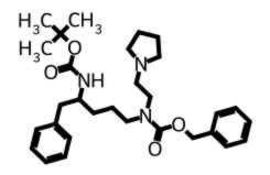 CC(C)(C)OC(=O)NC(CCCN(CCN1CCCC1)C(=O)OCc1ccccc1)Cc1ccccc1